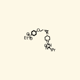 CCS(=O)(=O)c1ccc(OCC[C@@H]2C[C@@H]2C2CCN(c3nc(C(C)C)no3)CC2)cc1